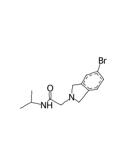 CC(C)NC(=O)CN1Cc2ccc(Br)cc2C1